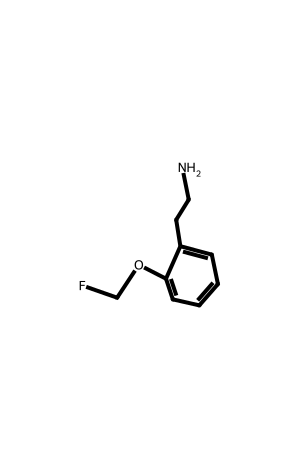 NCCc1ccccc1OCF